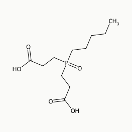 CCCCCP(=O)(CCC(=O)O)CCC(=O)O